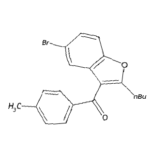 CCCCc1oc2ccc(Br)cc2c1C(=O)c1ccc(C)cc1